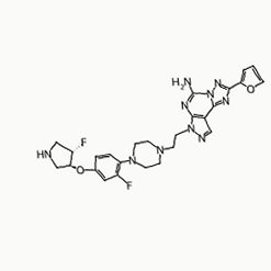 Nc1nc2c(cnn2CCN2CCN(c3ccc(O[C@H]4CNC[C@@H]4F)cc3F)CC2)c2nc(-c3ccco3)nn12